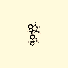 BC1(B)ONC(=O)c2cccc3[nH]c(-c4ccc([C@]5(B)CCCN5)c(F)c4)c1c23